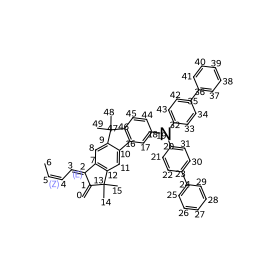 C=C1/C(=C\C=C/C)c2cc3c(cc2C1(C)C)-c1cc(N(c2ccc(-c4ccccc4)cc2)c2ccc(-c4ccccc4)cc2)ccc1C3(C)C